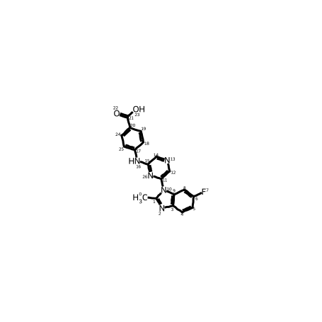 Cc1nc2ccc(F)cc2n1-c1cncc(Nc2ccc(C(=O)O)cc2)n1